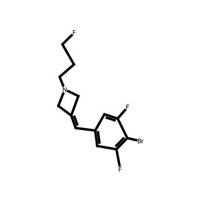 FCCCN1CC(=Cc2cc(F)c(Br)c(F)c2)C1